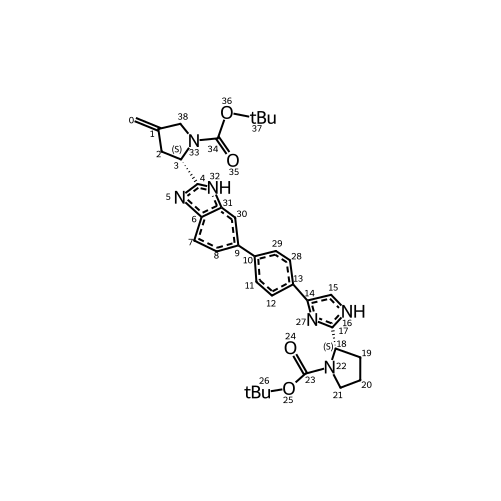 C=C1C[C@@H](c2nc3ccc(-c4ccc(-c5c[nH]c([C@@H]6CCCN6C(=O)OC(C)(C)C)n5)cc4)cc3[nH]2)N(C(=O)OC(C)(C)C)C1